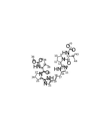 COC(=O)NC(C(=O)N1CCCC1c1ncc(C/C=C/c2cnc([C@H]3CCCN3C(=O)C(NC(=O)OC)C(C)C)[nH]2)[nH]1)C(C)C